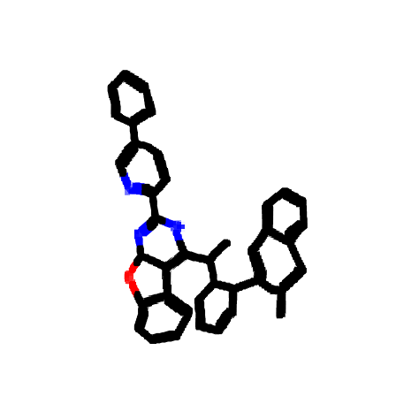 Cc1cc2ccccc2cc1C1C=CC=CC1C(C)C1NC(c2ccc(-c3ccccc3)cn2)=NC2Oc3ccccc3C21